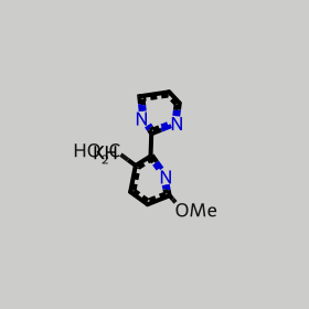 COc1ccc(C(=O)O)c(-c2ncccn2)n1.[KH]